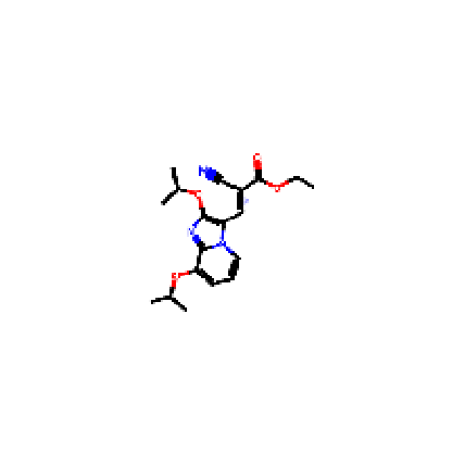 CCOC(=O)/C(C#N)=C/c1c(OC(C)C)nc2c(OC(C)C)cccn12